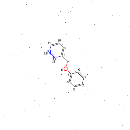 [c]1ccccc1OCc1cccnn1